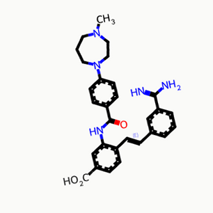 CN1CCCN(c2ccc(C(=O)Nc3cc(C(=O)O)ccc3/C=C/c3cccc(C(=N)N)c3)cc2)CC1